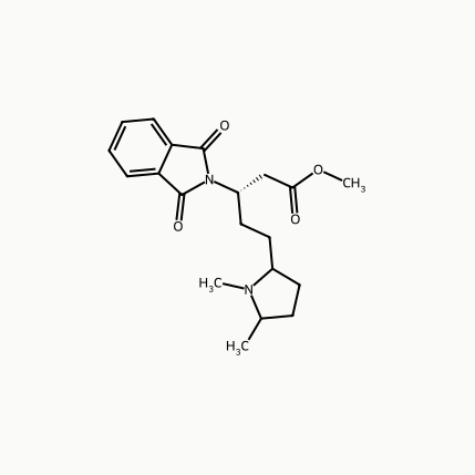 COC(=O)C[C@H](CCC1CCC(C)N1C)N1C(=O)c2ccccc2C1=O